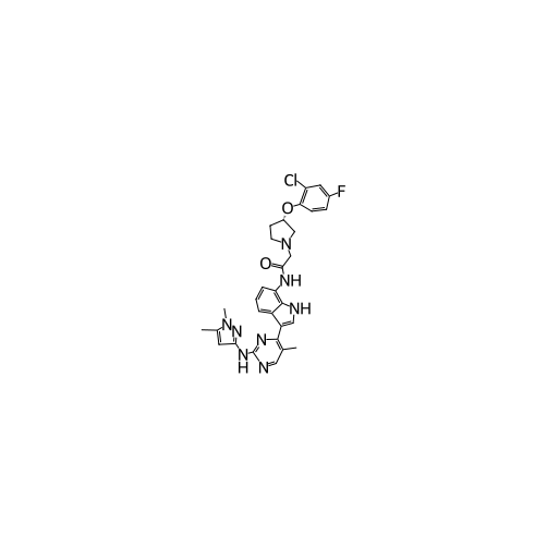 Cc1cnc(Nc2cc(C)n(C)n2)nc1-c1c[nH]c2c(NC(=O)CN3CC[C@H](Oc4ccc(F)cc4Cl)C3)cccc12